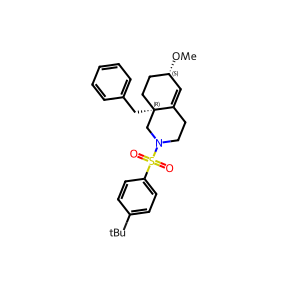 CO[C@@H]1C=C2CCN(S(=O)(=O)c3ccc(C(C)(C)C)cc3)C[C@@]2(Cc2ccccc2)CC1